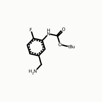 CC(C)(C)OC(=O)Nc1cc(CN)ccc1F